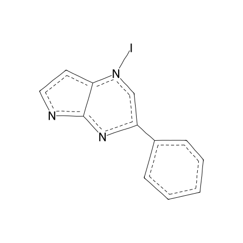 In1cc(-c2ccccc2)nc2nccc1-2